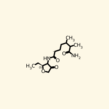 CC[C@@H]1OCC(=O)C1NC(=O)[CH]CCC(C)C(C)C(N)=O